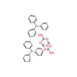 OB1OB2OB(O)OB(O1)O2.c1ccc(P(c2ccccc2)c2ccccc2)cc1.c1ccc(P(c2ccccc2)c2ccccc2)cc1